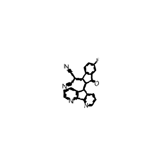 N#CC(C#N)=C1C(=C2c3cccnc3-c3ncccc32)C(=O)c2cc(F)ccc21